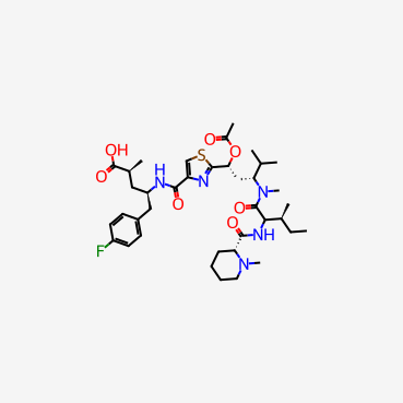 CC[C@H](C)C(NC(=O)[C@H]1CCCCN1C)C(=O)N(C)[C@H](C[C@@H](OC(C)=O)c1nc(C(=O)N[C@@H](Cc2ccc(F)cc2)C[C@H](C)C(=O)O)cs1)C(C)C